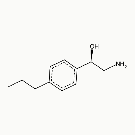 CCCc1ccc([C@@H](O)CN)cc1